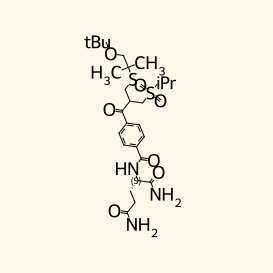 CC(C)S(=O)(=O)CC(CSC(C)(C)COC(C)(C)C)C(=O)c1ccc(C(=O)N[C@@H](CCC(N)=O)C(N)=O)cc1